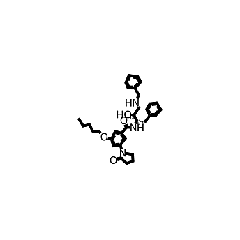 CCCCCOc1cc(C(=O)N[C@@H](Cc2ccccc2)[C@@H](O)CNCc2ccccc2)cc(N2CCCC2=O)c1